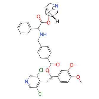 COc1ccc([C@H](Cc2c(Cl)cncc2Cl)OC(=O)c2ccc(CNC(C(=O)O[C@H]3CN4CCC3CC4)c3ccccc3)cc2)cc1OC